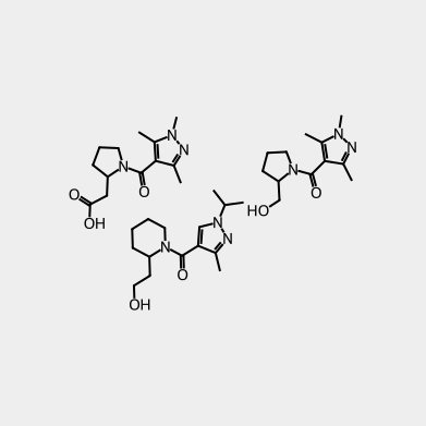 Cc1nn(C(C)C)cc1C(=O)N1CCCCC1CCO.Cc1nn(C)c(C)c1C(=O)N1CCCC1CC(=O)O.Cc1nn(C)c(C)c1C(=O)N1CCCC1CO